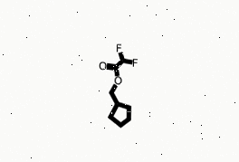 O=C(OCC1CCCC1)C(F)F